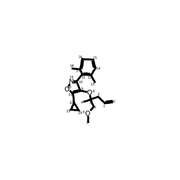 C=CCC(C)(COC)Oc1c(-c2c(C)cccc2C)noc1C1CC1